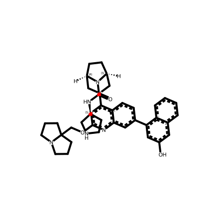 O=C(N[C@H]1CCNC1)N1[C@@H]2CC[C@H]1CN(c1nc(OCC34CCCN3CCC4)nc3cc(-c4cc(O)cc5ccccc45)ccc13)C2